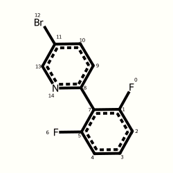 Fc1[c]ccc(F)c1-c1ccc(Br)cn1